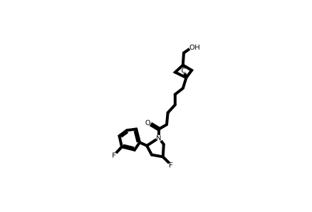 O=C(CCCCCC12CC(CO)(C1)C2)N1CC(F)CC1c1cccc(F)c1